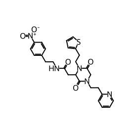 O=C(CC1C(=O)N(CCc2ccccn2)CC(=O)N1CCc1cccs1)NCCc1ccc([N+](=O)[O-])cc1